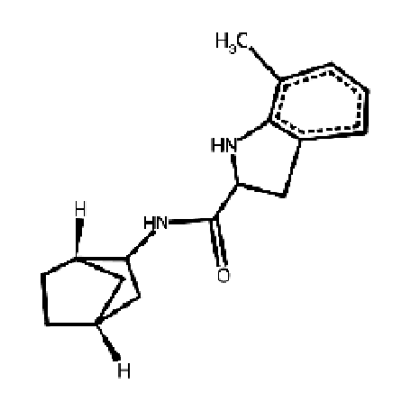 Cc1cccc2c1NC(C(=O)NC1C[C@@H]3CC[C@H]1C3)C2